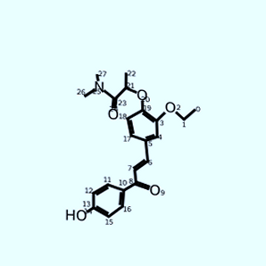 CCOc1cc(/C=C/C(=O)c2ccc(O)cc2)ccc1OC(C)C(=O)N(C)C